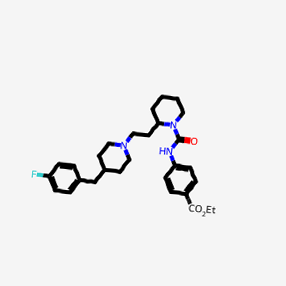 CCOC(=O)c1ccc(NC(=O)N2CCCCC2CCN2CCC(Cc3ccc(F)cc3)CC2)cc1